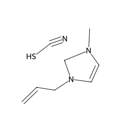 C=CCN1C=CN(C)C1.N#CS